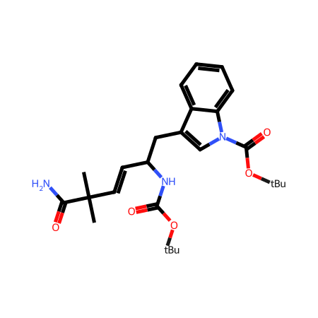 CC(C)(C)OC(=O)NC(/C=C/C(C)(C)C(N)=O)Cc1cn(C(=O)OC(C)(C)C)c2ccccc12